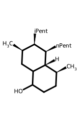 CCCCC[C@H]1[C@H]2C(C[C@@H](C)[C@H]1C(C)CCC)C(O)CC[C@@H]2C